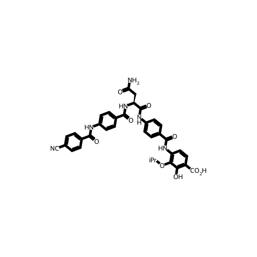 CC(C)Oc1c(NC(=O)c2ccc(NC(=O)[C@H](CC(N)=O)NC(=O)c3ccc(NC(=O)c4ccc(C#N)cc4)cc3)cc2)ccc(C(=O)O)c1O